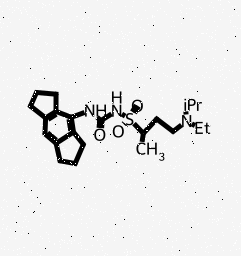 CCN(CCC(C)S(=O)(=O)NC(=O)Nc1c2c(cc3c1CCC3)CCC2)C(C)C